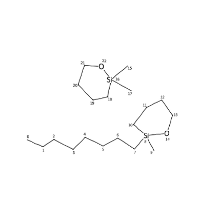 CCCCCCCC[Si]1(C)CCCCO1.C[Si]1(C)CCCCO1